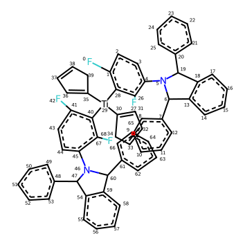 Fc1ccc(N2C(c3ccccc3)c3ccccc3C2c2ccccc2)c(F)[c]1[Ti]([C]1=CC=CC1)([C]1=CC=CC1)[c]1c(F)ccc(N2C(c3ccccc3)c3ccccc3C2c2ccccc2)c1F